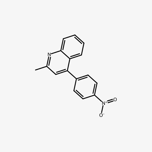 Cc1cc(-c2ccc([N+](=O)[O-])cc2)c2ccccc2n1